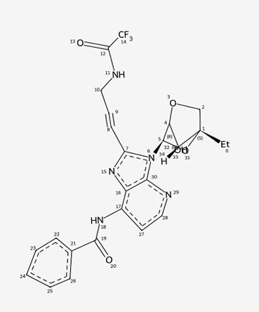 CC[C@@]12COC([C@H](n3c(C#CCNC(=O)C(F)(F)F)nc4c(NC(=O)c5ccccc5)ccnc43)O1)[C@H]2O